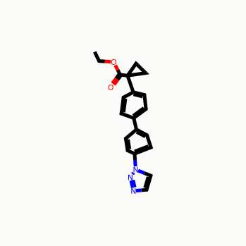 CCOC(=O)C1(c2ccc(-c3ccc(-n4ccnn4)cc3)cc2)CC1